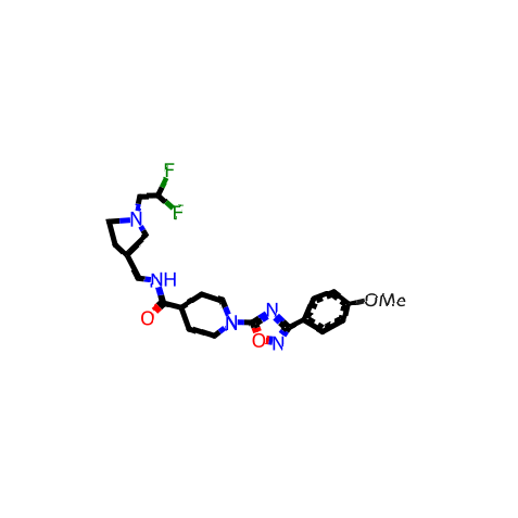 COc1ccc(-c2noc(N3CCC(C(=O)NCC4CCN(CC(F)F)C4)CC3)n2)cc1